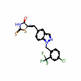 O=C1NC(=S)S/C1=C\c1ccc2c(cnn2Cc2ccc(Cl)cc2C(F)(F)F)c1